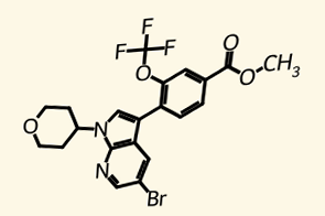 COC(=O)c1ccc(-c2cn(C3CCOCC3)c3ncc(Br)cc23)c(OC(F)(F)F)c1